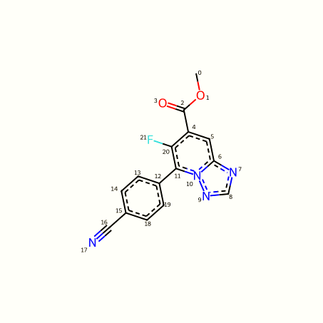 COC(=O)c1cc2ncnn2c(-c2ccc(C#N)cc2)c1F